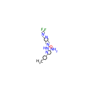 Cc1ccc(-c2ccc(N)c(NC(=O)N3Cc4cnc(CN5CC(F)(F)C5)cc4C3)n2)cc1